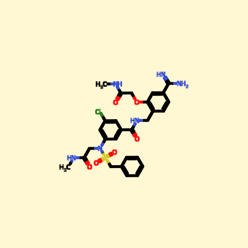 CNC(=O)COc1cc(C(=N)N)ccc1CNC(=O)c1cc(Cl)cc(N(CC(=O)NC)S(=O)(=O)Cc2ccccc2)c1